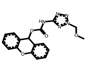 COCn1nnc(NC(=O)OC2c3ccccc3Oc3ccccc32)n1